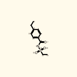 CCc1ccc(C(=O)[N]S(=O)(=O)CC)cc1